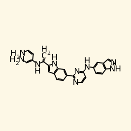 C=C(NC(/C=C\N)=C/N)c1cc2ccc(-c3nccc(Nc4ccc5[nH]ncc5c4)n3)cc2[nH]1